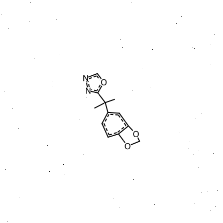 CC(C)(c1ccc2c(c1)OCO2)c1nnco1